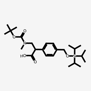 CC(C)[Si](OCc1ccc(C(CN(C)C(=O)OC(C)(C)C)C(=O)O)cc1)(C(C)C)C(C)C